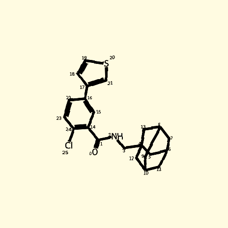 O=C(NCC12CC3CC(CC(C3)C1)C2)c1cc(-c2ccsc2)ccc1Cl